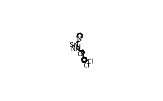 NC(=S)N(CCN1CCCCC1)N=Cc1ccc(-c2ccc(Cl)c(Cl)c2)o1